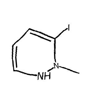 CN1NC=CC=C1I